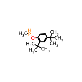 CPOc1ccc(C(C)(C)C)cc1C(C)(C)C